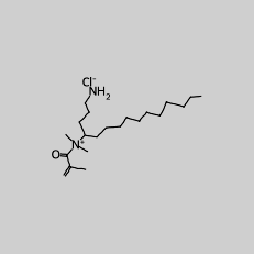 C=C(C)C(=O)[N+](C)(C)C(CCCN)CCCCCCCCCCC.[Cl-]